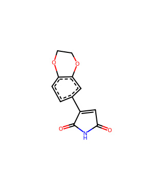 O=C1C=C(c2ccc3c(c2)OCCO3)C(=O)N1